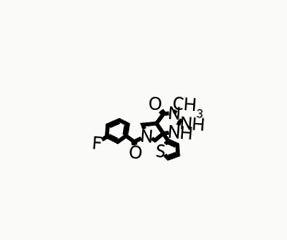 CN1C(=N)NC2(c3cccs3)CN(C(=O)c3cccc(F)c3)CC2C1=O